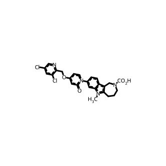 Cn1c2c(c3ccc(-n4ccc(OCc5ncc(Cl)cc5Cl)cc4=O)cc31)CN(C(=O)O)CCC2